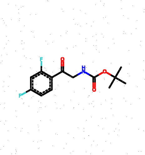 CC(C)(C)OC(=O)NCC(=O)c1ccc(F)cc1F